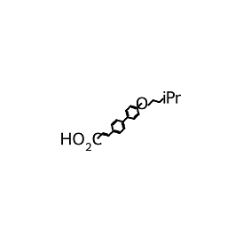 CC(C)CCCOc1ccc(-c2ccc(/C=C/C(=O)O)cc2)cc1